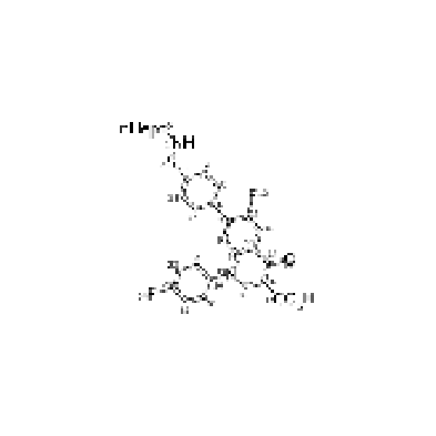 CCCCCCCNSc1ccc(-c2cc3c(cc2F)c(=O)c(C(=O)O)cn3-c2ccc(F)cc2)cc1